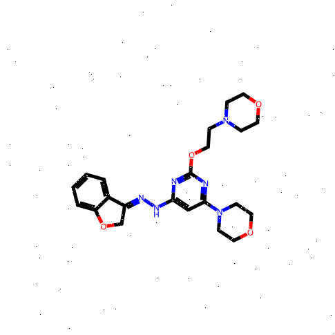 c1ccc2c(c1)OC/C2=N\Nc1cc(N2CCOCC2)nc(OCCN2CCOCC2)n1